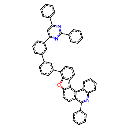 c1ccc(-c2cc(-c3cccc(-c4cccc(-c5cccc6c5oc5ccc7c(-c8ccccc8)nc8ccccc8c7c56)c4)c3)nc(-c3ccccc3)n2)cc1